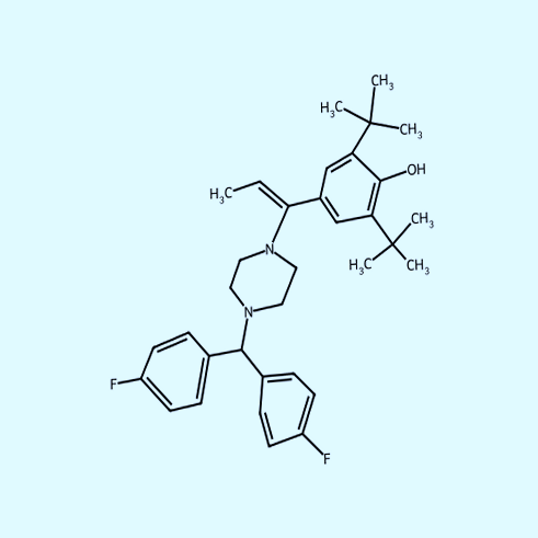 CC=C(c1cc(C(C)(C)C)c(O)c(C(C)(C)C)c1)N1CCN(C(c2ccc(F)cc2)c2ccc(F)cc2)CC1